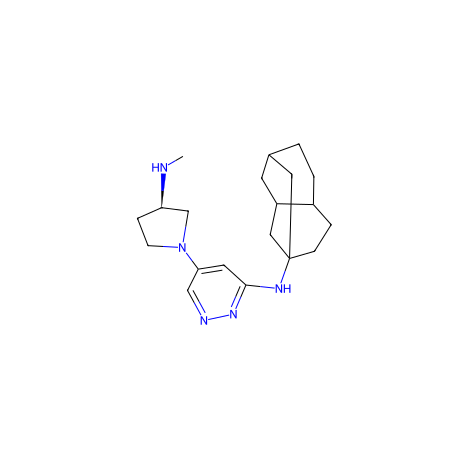 CN[C@@H]1CCN(c2cnnc(NC34CCC5CCC(CC5C3)C4)c2)C1